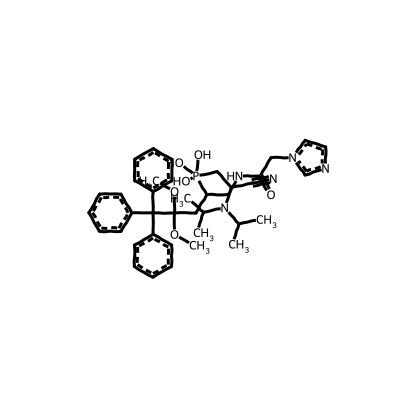 COC(CC(CNC(=O)Cn1ccnc1)P(O)(O)(O)CC(C#N)N(C(C)C)C(C)C)(OC)C(c1ccccc1)(c1ccccc1)c1ccccc1